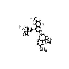 Cc1ccc2c(c1)S(O)(O)CCN(c1cc(NCC3(CN)COC3)c3cc(C)ccc3n1)C2